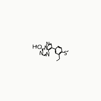 CCc1cc(-c2cnn3c(O)ncnc23)ccc1SC